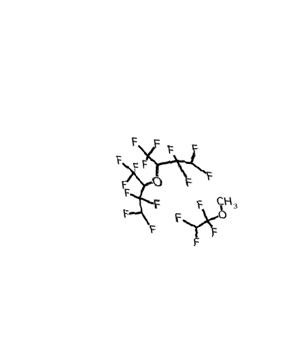 COC(F)(F)C(F)F.FC(F)C(F)(F)C(OC(C(F)(F)F)C(F)(F)C(F)F)C(F)(F)F